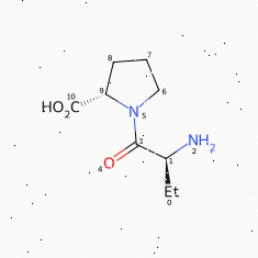 CC[C@H](N)C(=O)N1CCC[C@H]1C(=O)O